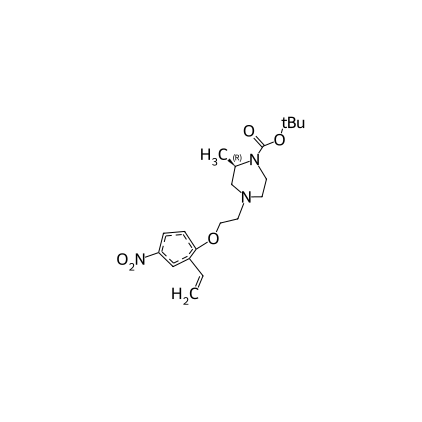 C=Cc1cc([N+](=O)[O-])ccc1OCCN1CCN(C(=O)OC(C)(C)C)[C@H](C)C1